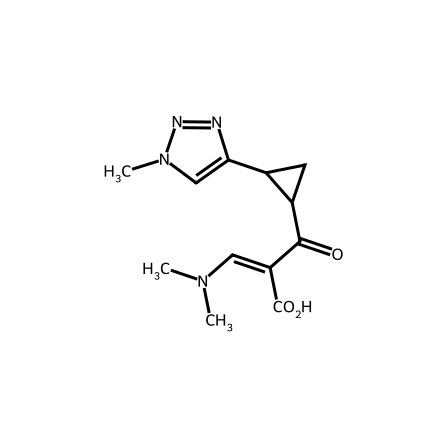 CN(C)C=C(C(=O)O)C(=O)C1CC1c1cn(C)nn1